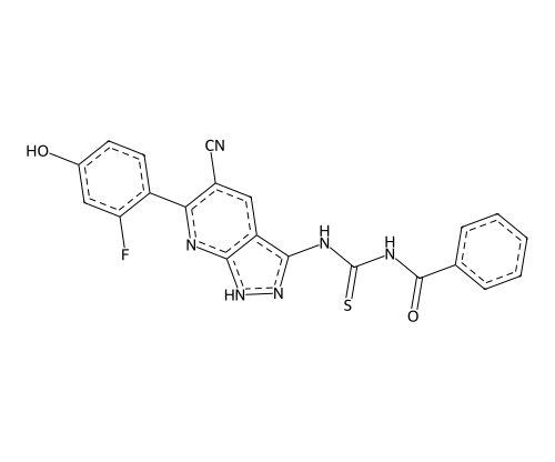 N#Cc1cc2c(NC(=S)NC(=O)c3ccccc3)n[nH]c2nc1-c1ccc(O)cc1F